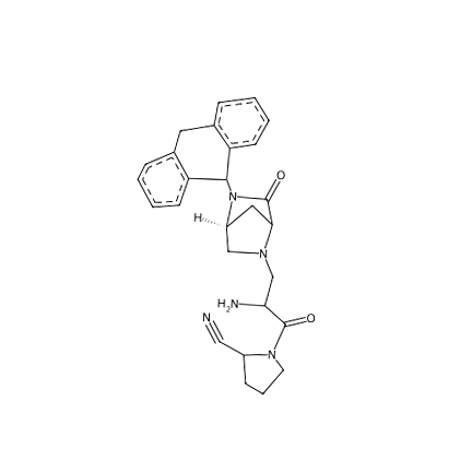 N#CC1CCCN1C(=O)C(N)CN1C[C@@H]2CC1C(=O)N2C1c2ccccc2Cc2ccccc21